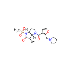 CC(C)[C@H]1C(=O)N(S(C)(=O)=O)[C@H]2CCN(C(=O)c3ccoc3CN3CCCC3)[C@H]12